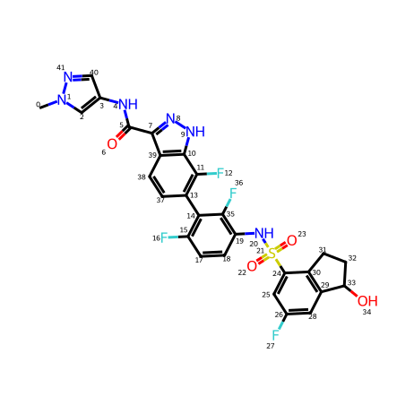 Cn1cc(NC(=O)c2n[nH]c3c(F)c(-c4c(F)ccc(NS(=O)(=O)c5cc(F)cc6c5CCC6O)c4F)ccc23)cn1